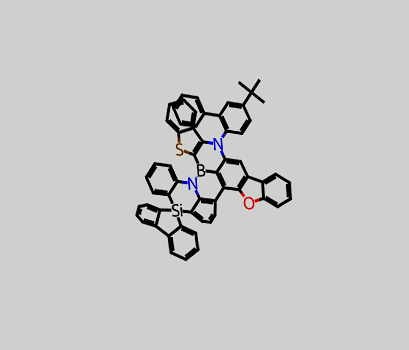 CC(C)(C)c1ccc(N2c3cc4c(oc5ccccc54)c4c3B(c3sc5ccccc5c32)N2c3ccccc3[Si]3(c5ccccc5-c5ccccc53)c3cccc-4c32)c(-c2ccccc2)c1